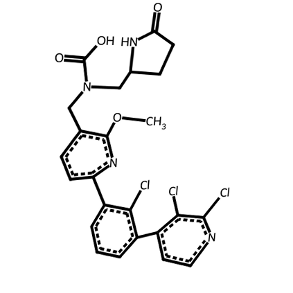 COc1nc(-c2cccc(-c3ccnc(Cl)c3Cl)c2Cl)ccc1CN(CC1CCC(=O)N1)C(=O)O